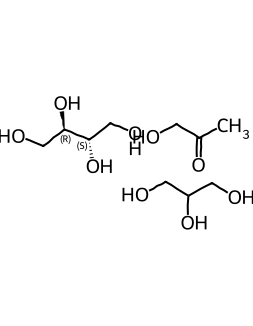 CC(=O)CO.OCC(O)CO.OC[C@@H](O)[C@@H](O)CO